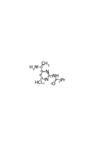 CC(C)C(=O)Nc1nccc(C(C)N)n1.Cl